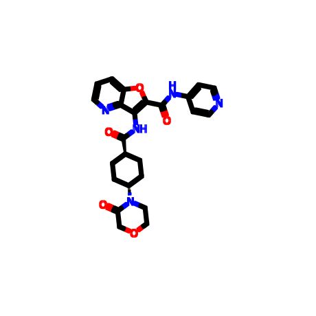 O=C(Nc1ccncc1)c1oc2cccnc2c1NC(=O)[C@H]1CC[C@H](N2CCOCC2=O)CC1